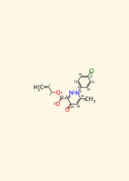 C=CCOC(=O)c1nn(-c2ccc(Cl)cc2)c(C)cc1=O